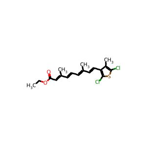 CCOC(=O)/C=C(C)/C=C/C=C(C)/C=C/c1c(Cl)sc(Cl)c1C